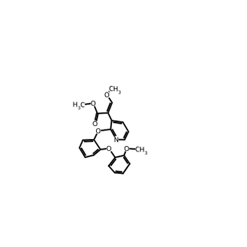 COC=C(C(=O)OC)c1cccnc1Oc1ccccc1Oc1ccccc1OC